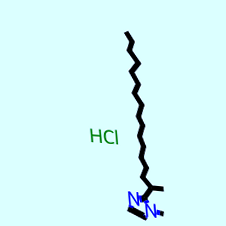 CCCCCCCCCCCCCCCC(C)c1nccn1C.Cl